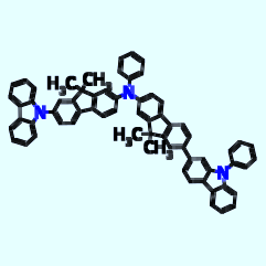 CC1(C)c2cc(-c3ccc4c5ccccc5n(-c5ccccc5)c4c3)ccc2-c2ccc(N(c3ccccc3)c3ccc4c(c3)C(C)(C)c3cc(-n5c6ccccc6c6ccccc65)ccc3-4)cc21